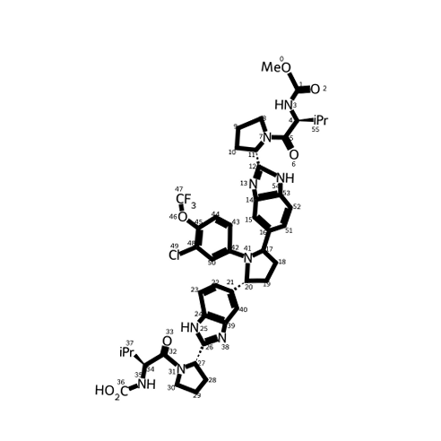 COC(=O)N[C@H](C(=O)N1CCC[C@H]1c1nc2cc(C3CC[C@H](c4ccc5[nH]c([C@@H]6CCCN6C(=O)[C@@H](NC(=O)O)C(C)C)nc5c4)N3c3ccc(OC(F)(F)F)c(Cl)c3)ccc2[nH]1)C(C)C